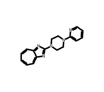 c1ccc2nc(N3CCN(c4ccccn4)CC3)nc-2cc1